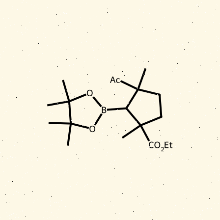 CCOC(=O)C1(C)CCC(C)(C(C)=O)C1B1OC(C)(C)C(C)(C)O1